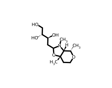 C[C@@H]1OCC[C@]2(C)OC(C[C@H](O)[C@H](O)CO)N(C)[C@H]12